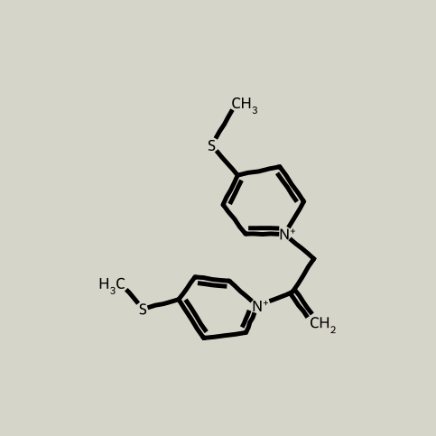 C=C(C[n+]1ccc(SC)cc1)[n+]1ccc(SC)cc1